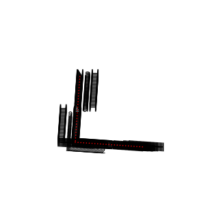 O.O.O.O.O.O.O.O.O.O.O.O.O.O.O.O.O.O.O.O.O.O.O.O.O.O.O.O.O.O.O.O.O.O.O.O.O.O.O.O.O.O.O.O.O.O.O.O.O.O.[NaH].[NaH].[NaH].[NaH].[NaH].[NaH].[NaH].[NaH].[NaH].[NaH].[NaH].[NaH].[NaH].[NaH].[NaH].[NaH].[NaH].[NaH].[NaH].[NaH].[NaH].[NaH].[NaH].[NaH].[NaH].[NaH].[NaH].[NaH].[NaH].[NaH].[NaH].[NaH].[NaH].[NaH].[NaH].[NaH].[NaH].[NaH].[NaH].[NaH].[NaH].[NaH].[NaH].[NaH].[NaH].[NaH].[NaH].[NaH].[NaH].[NaH]